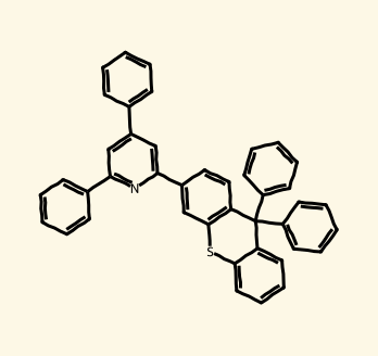 c1ccc(-c2cc(-c3ccccc3)nc(-c3ccc4c(c3)Sc3ccccc3C4(c3ccccc3)c3ccccc3)c2)cc1